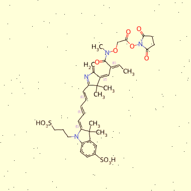 C=C1N=C(/C=C/C=C/C=C2/N(CCCS(=O)(=O)O)c3ccc(S(=O)(=O)O)cc3C2(C)C)C(C)(C)/C1=C/C(=C\C)C(=O)N(C)OCC(=O)ON1C(=O)CCC1=O